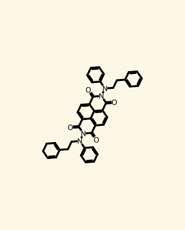 O=C1c2ccc3c4c(ccc(c24)C(=O)N1N(CCC1=CCCC=C1)c1ccccc1)C(=O)N(N(CCc1ccccc1)c1ccccc1)C3=O